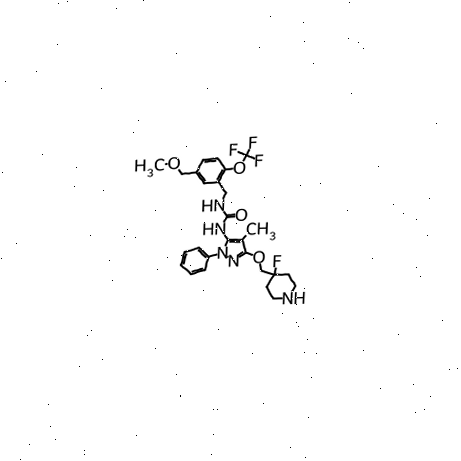 COCc1ccc(OC(F)(F)F)c(CNC(=O)Nc2c(C)c(OCC3(F)CCNCC3)nn2-c2ccccc2)c1